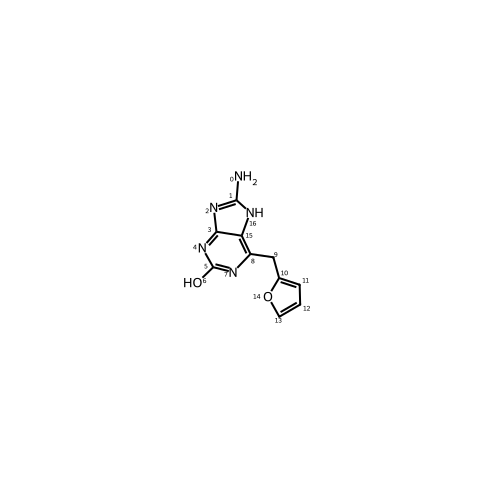 Nc1nc2nc(O)nc(Cc3ccco3)c2[nH]1